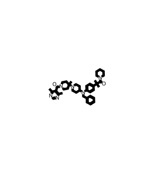 Cc1ncnc(C)c1C(=O)N1CCC(C)(N2CCC(N(Cc3ccccc3)c3ccc(C(C)(C)C(=O)N4CCCCC4)cc3)CC2)CC1